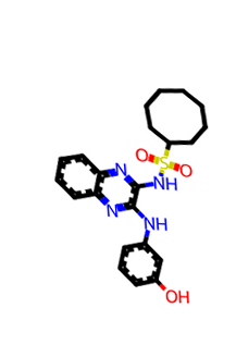 O=S(=O)(Nc1nc2ccccc2nc1Nc1cccc(O)c1)C1CCCCCCC1